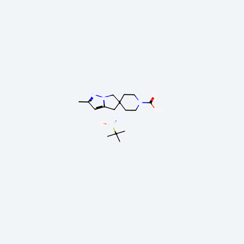 Cc1cc2n(n1)CC1(CCN(C(=O)O)CC1)[C@@H]2N[S@+]([O-])C(C)(C)C